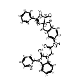 O=C(Cn1c(=O)n(-c2ccccn2)c2ccccc21)Nc1ccc2c(c1)CC1(C2)N=C(c2ccccc2)NC1=O